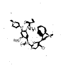 C=CC(=O)Nc1cc(Nc2ncc(Cl)c(-c3cn(C)c4ccccc34)n2)c(OC)cc1O[C@H]1CCN(C)C1